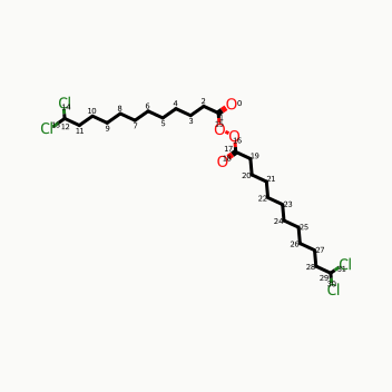 O=C(CCCCCCCCCCC(Cl)Cl)OOC(=O)CCCCCCCCCCC(Cl)Cl